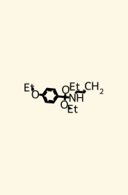 C=CCNC(OCC)(OCC)c1ccc(OCC)cc1